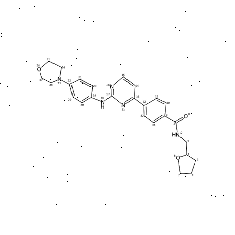 O=C(NCC1CCCO1)c1ccc(-c2ccnc(Nc3ccc(N4CCOCC4)cc3)n2)cc1